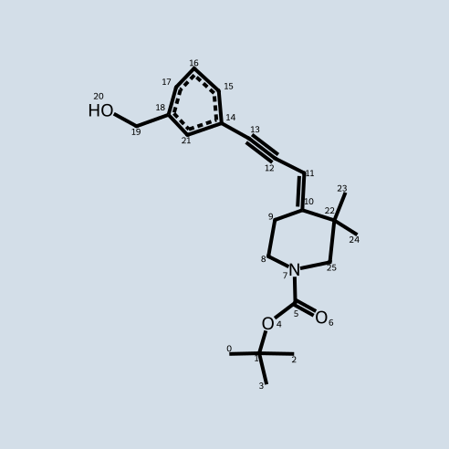 CC(C)(C)OC(=O)N1CC/C(=C\C#Cc2cccc(CO)c2)C(C)(C)C1